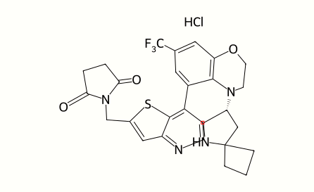 Cl.O=C1CCC(=O)N1Cc1cc2nccc(-c3cc(C(F)(F)F)cc4c3N([C@H]3CNC5(CCC5)C3)CCO4)c2s1